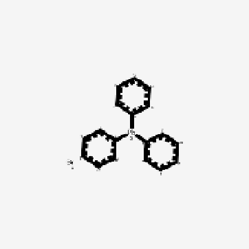 [Br].c1cc[c]([Pb]([c]2ccccc2)[c]2ccccc2)cc1